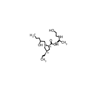 CC(=O)NCCO.CC=C[C@@H]1C[C@H](C(=O)O)N(CC(O)CCC)C1